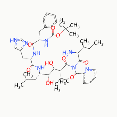 CC[C@H](C)[C@H](N)C(=O)N(C(=O)c1ccccn1)C(=O)[C@H](C(C)C)C(O)[C@H](O)[C@H](CC(C)C)NC(=O)[C@H](Cc1c[nH]cn1)NC(=O)[C@H](Cc1ccccc1)NC(=O)OC(C)(C)C